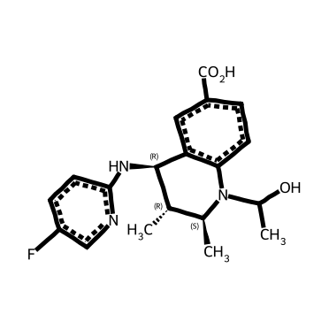 CC(O)N1c2ccc(C(=O)O)cc2[C@H](Nc2ccc(F)cn2)[C@@H](C)[C@@H]1C